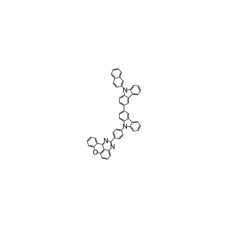 c1ccc2c(c1)Oc1cccc3nc(-c4ccc(-n5c6ccccc6c6cc(-c7ccc8c(c7)c7ccccc7n8-c7ccc8ccccc8c7)ccc65)cc4)nc-2c13